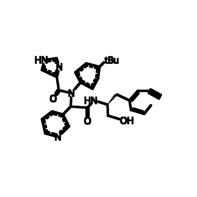 C#C/C=C(\C=C/C)C[C@H](CO)NC(=O)C(c1cccnc1)N(C(=O)c1c[nH]cn1)c1ccc(C(C)(C)C)cc1